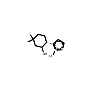 Cn1nccc1[C@H]1CCC(F)(F)C[C@@H]1O